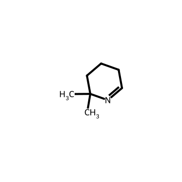 CC1(C)CCCC=N1